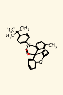 Cc1ccc2c(c1)C1(c3ccccc3Oc3ccccc31)c1ccccc1N2c1ccc(C(C)(C)C)cc1